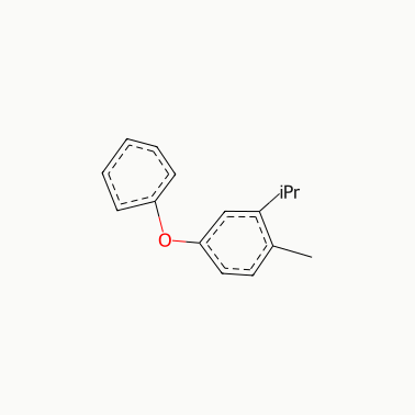 Cc1ccc(Oc2ccccc2)cc1C(C)C